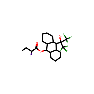 CCC(I)C(=O)OC1C2CCCCC2C(C(O)(C(F)(F)F)C(F)(F)F)C2CCCCC21